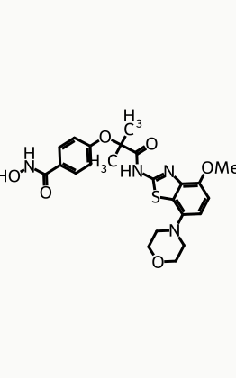 COc1ccc(N2CCOCC2)c2sc(NC(=O)C(C)(C)Oc3ccc(C(=O)NO)cc3)nc12